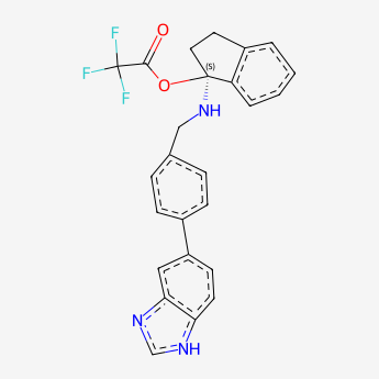 O=C(O[C@@]1(NCc2ccc(-c3ccc4[nH]cnc4c3)cc2)CCc2ccccc21)C(F)(F)F